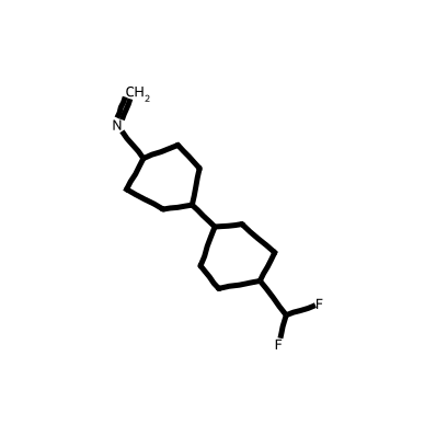 C=NC1CCC(C2CCC(C(F)F)CC2)CC1